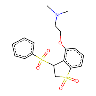 CN(C)CCOc1cccc2c1C(S(=O)(=O)c1ccccc1)CS2(=O)=O